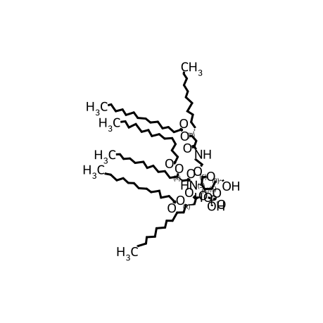 CCCCCCCCCCCCCC(=O)O[C@H](CCCCCCCCCCC)CC(=O)NCCO[C@H]1O[C@H](CO)[C@@H](OP(=O)(O)O)[C@H](OC(=O)C[C@@H](CCCCCCCCCCC)OC(=O)CCCCCCCCCCCCC)[C@@H]1NC(=O)C[C@@H](CCCCCCCCCCC)OC(=O)CCCCCCCCCCCCC